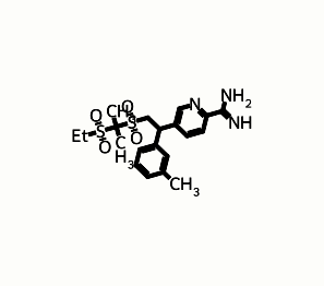 CCS(=O)(=O)C(C)(C)S(=O)(=O)CC(c1ccc(C(=N)N)nc1)c1cccc(C)c1